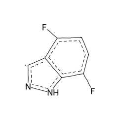 Fc1ccc(F)c2[nH]n[c]c12